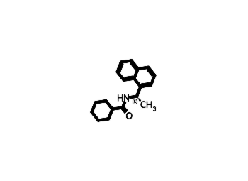 C[C@H](NC(=O)C1CCCCC1)c1cccc2ccccc12